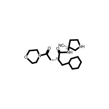 N#C[C@]1(NC(=O)[C@@H](CC(=O)N2CCOCC2)CC2CCCCC2)CCNC1